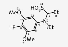 CCC(N(CC)c1cc(OC)c(F)c(OC)c1)S(=O)(=O)O